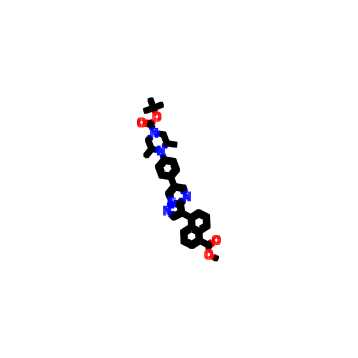 COC(=O)c1cccc2c(-c3cnn4cc(-c5ccc(N6C(C)CN(C(=O)OC(C)(C)C)CC6C)cc5)cnc34)cccc12